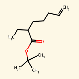 C=CCCCC(CC)C(=O)OC(C)(C)C